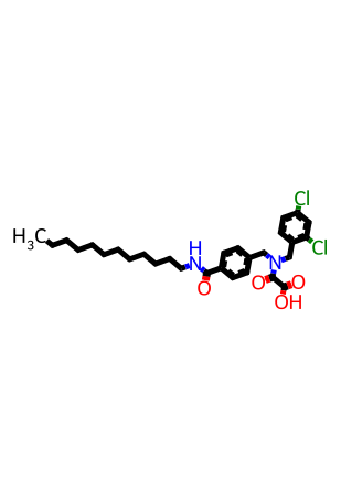 CCCCCCCCCCCCNC(=O)c1ccc(CN(Cc2ccc(Cl)cc2Cl)C(=O)C(=O)O)cc1